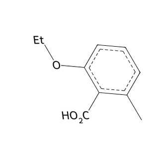 CCOc1cccc(C)c1C(=O)O